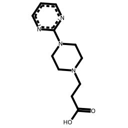 O=C(O)CCN1CCN(c2ncccn2)CC1